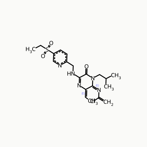 C=C(Cl)/N=C1\C(=C/C)N=C(NCc2ccc(S(=O)(=O)CC)cn2)C(=O)N1CC(C)C